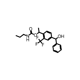 CCCNC(=O)OC(C)c1ccc(C(O)c2ccccc2)cc1C(F)(F)F